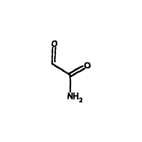 NC(=O)C=O